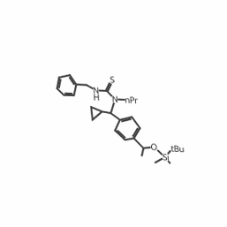 CCCN(C(=S)NCc1ccccc1)C(c1ccc(C(C)O[Si](C)(C)C(C)(C)C)cc1)C1CC1